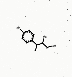 CC(c1ccc(O)cc1)C(O)CO